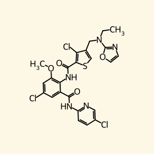 CCN(Cc1csc(C(=O)Nc2c(OC)cc(Cl)cc2C(=O)Nc2ccc(Cl)cn2)c1Cl)c1ncco1